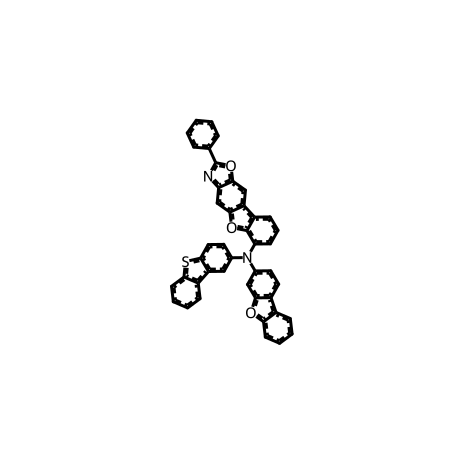 c1ccc(-c2nc3cc4oc5c(N(c6ccc7c(c6)oc6ccccc67)c6ccc7sc8ccccc8c7c6)cccc5c4cc3o2)cc1